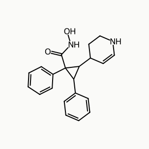 O=C(NO)C1(c2ccccc2)C(c2ccccc2)C1C1C=CNCC1